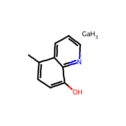 Cc1ccc(O)c2ncccc12.[GaH3]